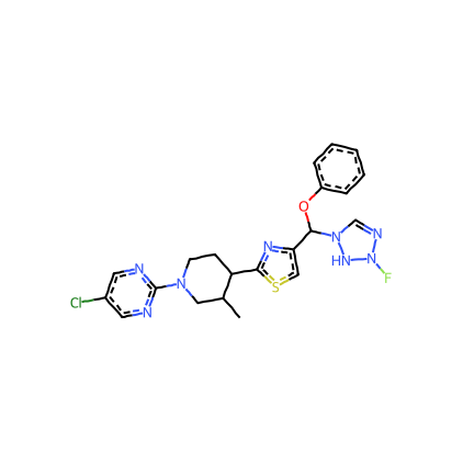 CC1CN(c2ncc(Cl)cn2)CCC1c1nc(C(Oc2ccccc2)N2C=NN(F)N2)cs1